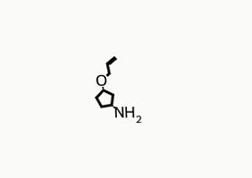 C=CCO[C@H]1CC[C@@H](N)C1